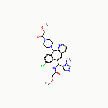 COCC(=O)NC(C1=Cc2cccnc2C(N2CCN(C(=O)COC)CC2)c2ccc(Cl)cc21)c1cncn1C